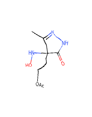 CC(=O)OCCC1(NO)C(=O)NN=C1C